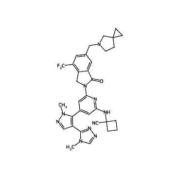 Cn1cnnc1-c1cnn(C)c1-c1cc(NC2(C#N)CCC2)nc(N2Cc3c(cc(CN4CCC5(CC5)C4)cc3C(F)(F)F)C2=O)c1